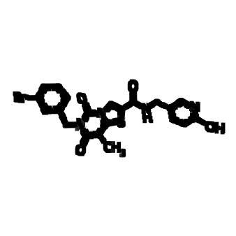 Cc1c(=O)n(Cc2cccc(Br)c2)c(=O)n2cc(C(=O)NCc3ccc(O)nc3)sc12